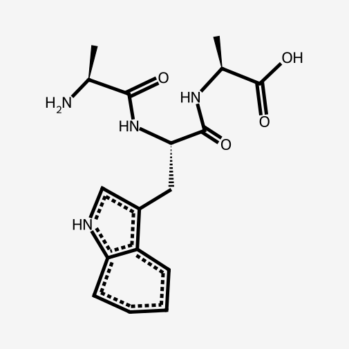 C[C@H](N)C(=O)N[C@@H](Cc1c[nH]c2ccccc12)C(=O)N[C@@H](C)C(=O)O